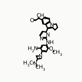 C=C(C=O)c1ccc2c(c1)c(-c1ccnc(Nc3cc(N)c(N4CC(N(C)C)C4)cc3OC)n1)c1n2CCC1